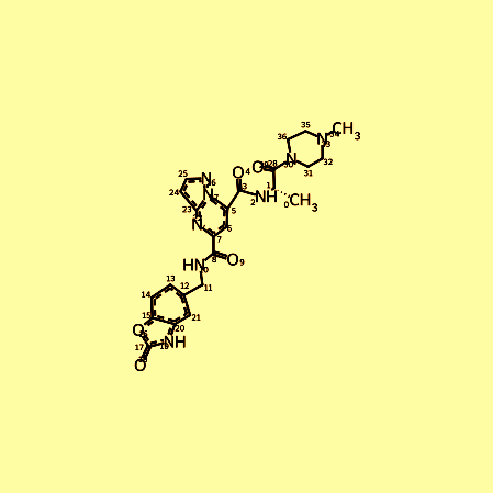 C[C@H](NC(=O)c1cc(C(=O)NCc2ccc3oc(=O)[nH]c3c2)nc2ccnn12)C(=O)N1CCN(C)CC1